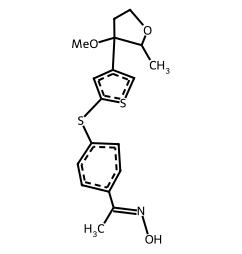 COC1(c2csc(Sc3ccc(C(C)=NO)cc3)c2)CCOC1C